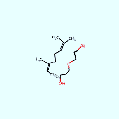 CC(C)=CCCC(C)=CC=O.OCCOCCO